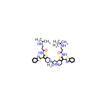 CC(C)NCCC(=O)Nc1sc2c(c1-c1nc3ccccc3s1)CCN(C(C)CC1NCCc3c1sc(NC(=O)CCNC(C)(C)C)c3-c1nc3ccccc3s1)C2